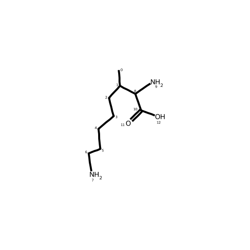 CC(CCCCCN)C(N)C(=O)O